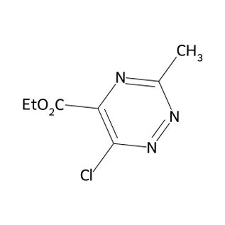 CCOC(=O)c1nc(C)nnc1Cl